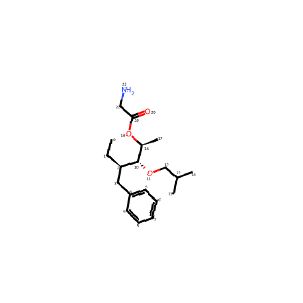 CC[C@H](Cc1ccccc1)[C@@H](OCC(C)C)[C@H](C)OC(=O)CN